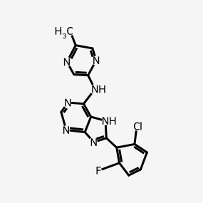 Cc1cnc(Nc2ncnc3nc(-c4c(F)cccc4Cl)[nH]c23)cn1